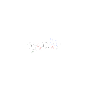 CC(C)NC(=O)Nc1ccc(C(=O)Oc2cc(Cl)cc(Cl)c2)cc1